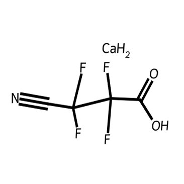 N#CC(F)(F)C(F)(F)C(=O)O.[CaH2]